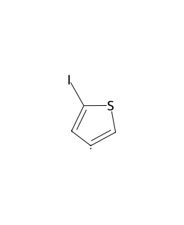 Ic1c[c]cs1